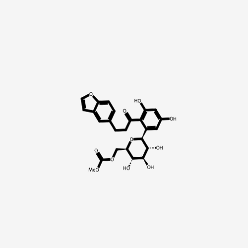 COC(=O)OC[C@H]1O[C@@H](c2cc(O)cc(O)c2C(=O)CCc2ccc3occc3c2)[C@H](O)[C@@H](O)[C@@H]1O